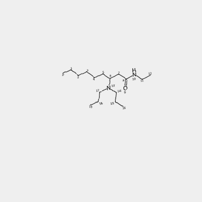 CCCCCCC(CC(=O)NCC)N(CCC)CCC